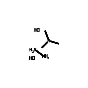 CN(C)C.Cl.Cl.NN